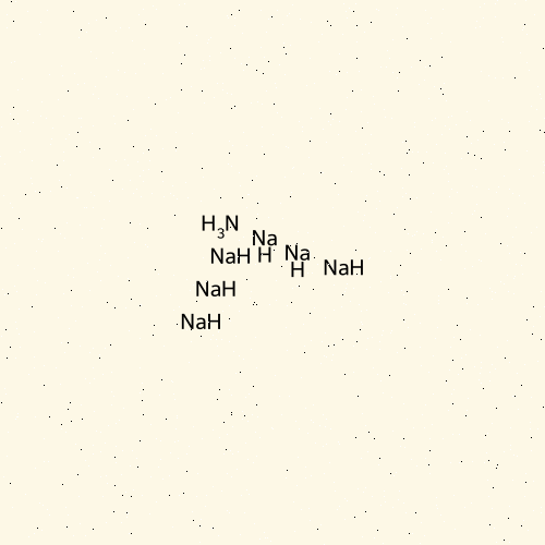 N.[NaH].[NaH].[NaH].[NaH].[NaH].[NaH]